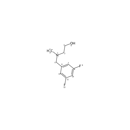 CN(CCO)Cc1cc(F)cc(F)c1